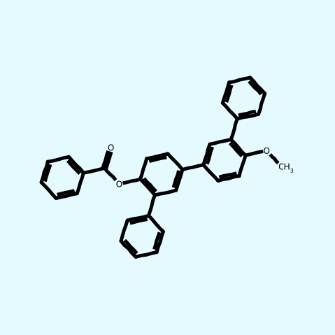 COc1ccc(-c2ccc(OC(=O)c3ccccc3)c(-c3ccccc3)c2)cc1-c1ccccc1